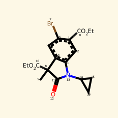 CCOC(=O)c1cc2c(cc1Br)C(C)(C(=O)OCC)C(=O)N2C1CC1